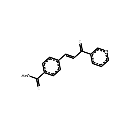 COC(=O)c1ccc(/C=C/C(=O)c2cccnc2)cc1